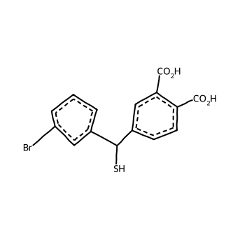 O=C(O)c1ccc(C(S)c2cccc(Br)c2)cc1C(=O)O